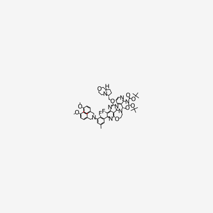 COc1ccc(CN(Cc2ccc(OC)cc2)c2cc(C)cc(-c3nc4c5c(nc(OC[C@@H]6CC[C@H]7COCCN76)nc5c3F)N([C@H](C)c3cccnc3N(C(=O)OC(C)(C)C)C(=O)OC(C)(C)C)CCO4)c2F)cc1